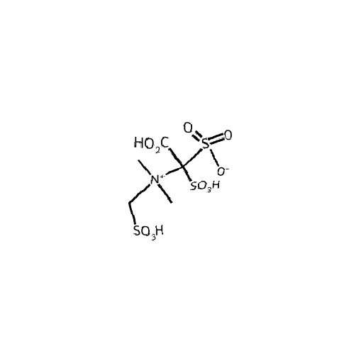 C[N+](C)(CS(=O)(=O)O)C(C(=O)O)(S(=O)(=O)[O-])S(=O)(=O)O